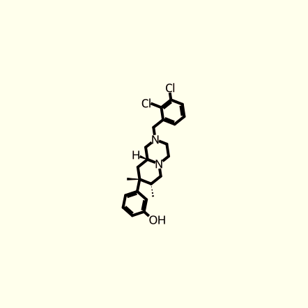 C[C@H]1CN2CCN(Cc3cccc(Cl)c3Cl)C[C@H]2C[C@@]1(C)c1cccc(O)c1